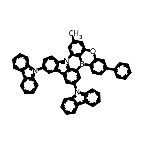 Cc1cc2c3c(c1)-n1c4ccc(-n5c6ccccc6c6ccccc65)cc4c4cc(-n5c6ccccc6c6ccccc65)cc(c41)B3c1ccc(-c3ccccc3)cc1O2